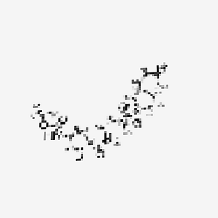 Cc1cc(NC(=O)OC(C)(C)C)ccc1C(=O)N1CCN(S(=O)(=O)c2ccc3cc(Cl)ccc3c2)CC1